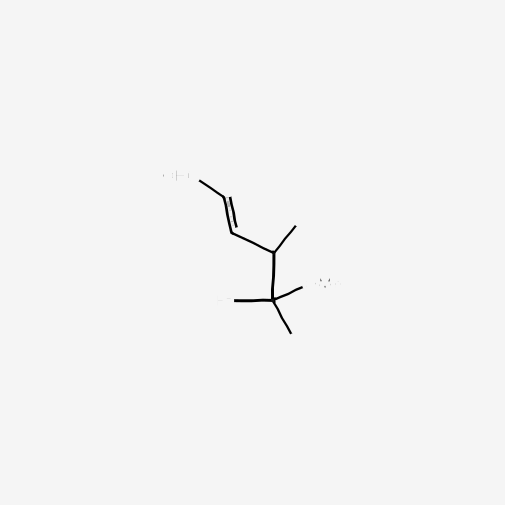 CCC(C)(OC)C(C)C=CC=O